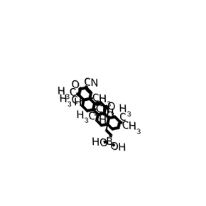 CC1(C)CC[C@]2(CCB(O)O)CC[C@]3(C)[C@H](C(=O)C=C4[C@@]5(C)C=C(C#N)C(=O)C(C)(C)[C@@H]5CC[C@]43C)[C@@H]2C1